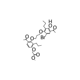 CCCc1c(O)c(C(C)=O)cc(Br)c1OCCCOc1c(C(C)=O)ccc(OCC(=O)OC)c1CCC